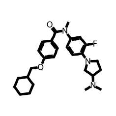 CN(C(=O)c1ccc(OCC2CCCCC2)cc1)c1ccc(N2CCC(N(C)C)C2)c(F)c1